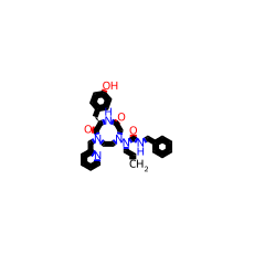 C=CCN(C(=O)NCc1ccccc1)N1CCN(Cc2ccccn2)C(=O)[C@H](Cc2ccc(O)cc2)NC(=O)C1